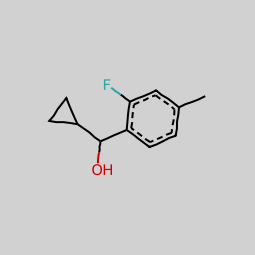 Cc1ccc(C(O)C2CC2)c(F)c1